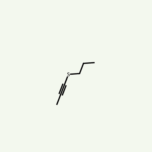 CC#CSCCC